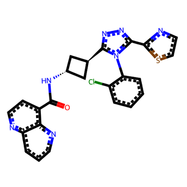 O=C(N[C@H]1C[C@H](c2nnc(-c3nccs3)n2-c2ccccc2Cl)C1)c1ccnc2cccnc12